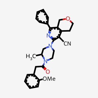 COc1ccccc1CC(=O)N1CCN(c2nc(-c3ccccc3)c3c(c2C#N)CCOC3)CC1C